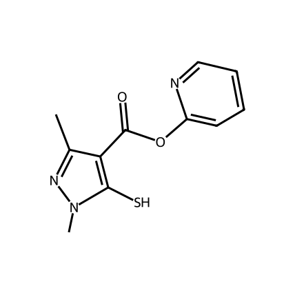 Cc1nn(C)c(S)c1C(=O)Oc1ccccn1